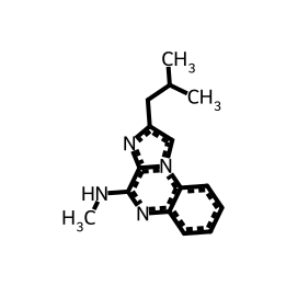 CNc1nc2ccccc2n2cc(CC(C)C)nc12